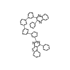 c1ccc(-c2nc3ccccc3nc2-c2cccc(-c3cccc(-c4cccc(-c5cccc(-c6nc(-c7ccccc7)c7c(n6)sc6ccccc67)c5)c4)c3)c2)cc1